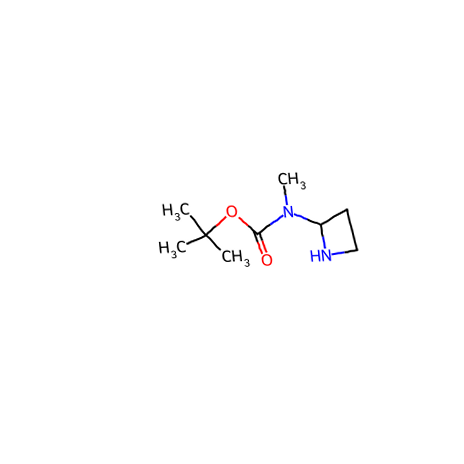 CN(C(=O)OC(C)(C)C)C1CCN1